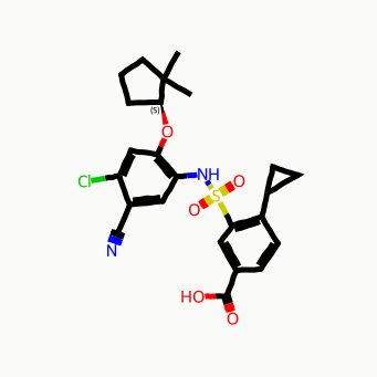 CC1(C)CCC[C@@H]1Oc1cc(Cl)c(C#N)cc1NS(=O)(=O)c1cc(C(=O)O)ccc1C1CC1